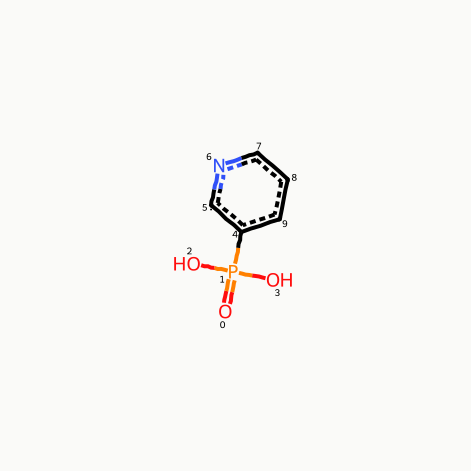 O=P(O)(O)c1[c]nccc1